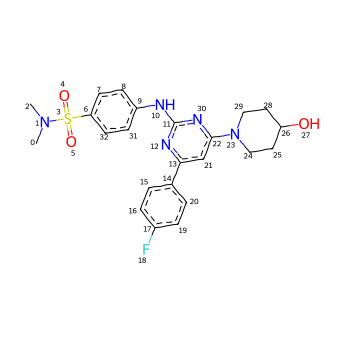 CN(C)S(=O)(=O)c1ccc(Nc2nc(-c3ccc(F)cc3)cc(N3CCC(O)CC3)n2)cc1